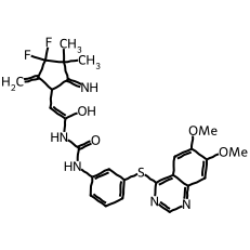 C=C1C(/C=C(\O)NC(=O)Nc2cccc(Sc3ncnc4cc(OC)c(OC)cc34)c2)C(=N)C(C)(C)C1(F)F